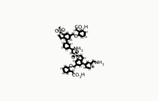 CS(=O)(=O)n1ccc2c(-c3cccc(C(N)CS(=O)(=O)n4ccc5c(-c6ccnc(CN)c6)cc(COc6ccccc6CC(=O)O)cc54)c3)cc(COc3ccccc3CC(=O)O)cc21